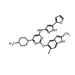 Cc1cc2cc(Oc3nc(Nc4cc(-c5ccco5)[nH]n4)cc(N4CCN(C)CC4)n3)c(F)cc2[nH]1